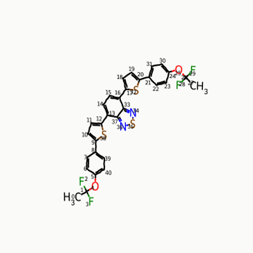 CC(F)(F)Oc1ccc(-c2ccc(-c3ccc(-c4ccc(-c5ccc(OC(C)(F)F)cc5)s4)c4nsnc34)s2)cc1